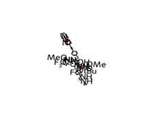 COC(=O)NC(C(=O)N[C@@H](Cc1ccc(C#Cc2ccc(N3CC4CCC(C3)N4C3COC3)nc2)cc1)[C@@H](O)CN(Cc1c(F)cc(C(=N)/C=C\NC2CC2)cc1F)NC(=O)[C@@H](NC(=O)OC)C(C)(C)C)C(C)(C)C(F)(F)F